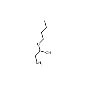 CCCCOP(O)CN